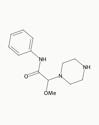 COC(C(=O)Nc1ccccc1)N1CCNCC1